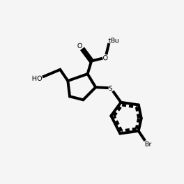 CC(C)(C)OC(=O)C1C(CO)CCC1Sc1ccc(Br)cc1